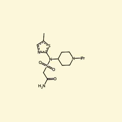 Cc1cnc(N(C2CCN(C(C)C)CC2)S(=O)(=O)CC(N)=O)s1